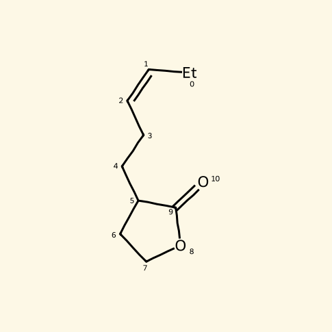 CC/C=C\CCC1CCOC1=O